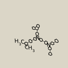 Cc1cc(C)cc(-c2ccc(-c3ccc(N(c4ccc(-c5ccc(N(c6ccc(-c7ccccc7)cc6)c6ccc(-c7ccccc7)cc6)cc5)cc4)c4ccc(-c5cc6ccccc6c6ccccc56)cc4)cc3)cc2)c1